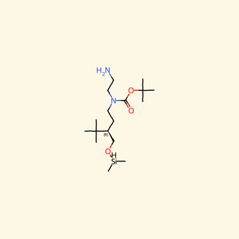 C[SiH](C)OC[C@H](CCN(CCN)C(=O)OC(C)(C)C)C(C)(C)C